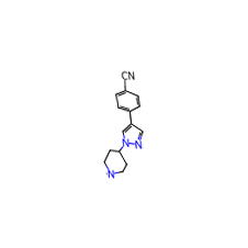 N#Cc1ccc(-c2cnn(C3CC[N]CC3)c2)cc1